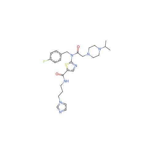 CC(C)N1CCN(CC(=O)N(Cc2ccc(F)cc2)c2ncc(C(=O)NCCCn3ccnc3)s2)CC1